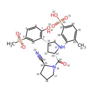 CS(=O)(=O)c1ccc(O)c([C@@H]2CN[C@H](C(=O)N3CCC[C@H]3C#N)C2)c1.Cc1ccc(S(=O)(=O)O)cc1